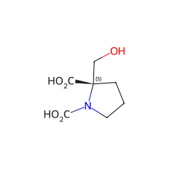 O=C(O)N1CCC[C@]1(CO)C(=O)O